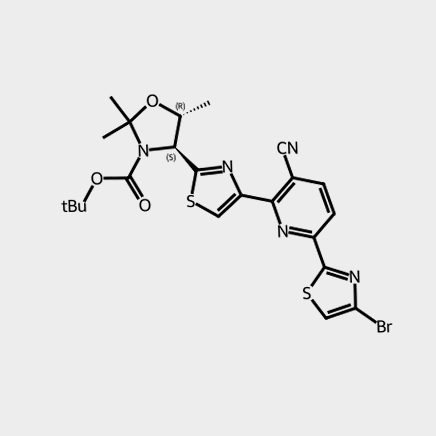 C[C@H]1OC(C)(C)N(C(=O)OC(C)(C)C)[C@@H]1c1nc(-c2nc(-c3nc(Br)cs3)ccc2C#N)cs1